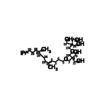 CC(=CCCCOCC(CO)(CO)COCC(CO)(CO)CO)CCCC(C)CCCC(C)C